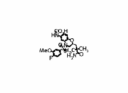 COc1cc(S(=O)(=O)N2C[C@H](CC(C)(C)C(N)=O)Oc3ccc(NC(=O)O)cc32)ccc1F